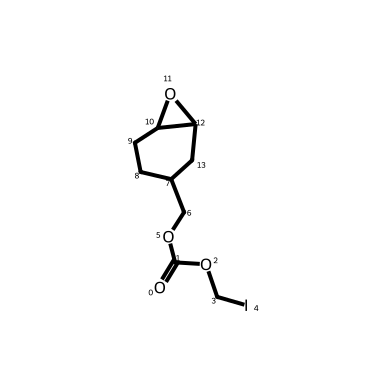 O=C(OCI)OCC1CCC2OC2C1